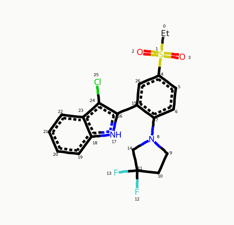 CCS(=O)(=O)c1ccc(N2CCC(F)(F)C2)c(-c2[nH]c3ccccc3c2Cl)c1